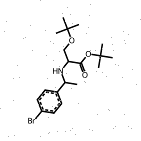 CC(NC(COC(C)(C)C)C(=O)OC(C)(C)C)c1ccc(Br)cc1